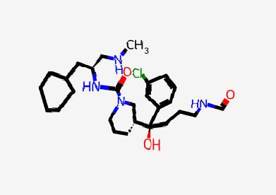 CNC[C@H](CC1CCCCC1)NC(=O)N1CCC[C@@H]([C@@](O)(CCCNC=O)c2cccc(Cl)c2)C1